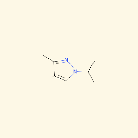 Cc1[c]cn(C(C)C)n1